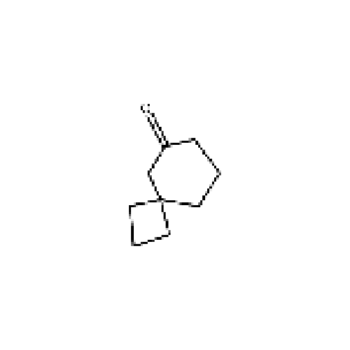 O=C1CCCC2(CCC2)C1